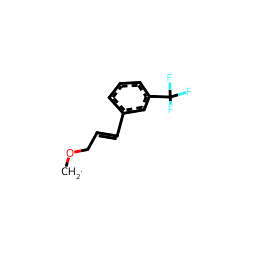 [CH2]OC/C=C/c1cccc(C(F)(F)F)c1